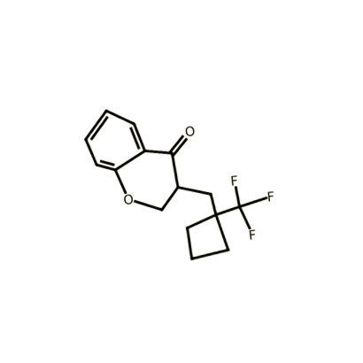 O=C1c2ccccc2OCC1CC1(C(F)(F)F)CCC1